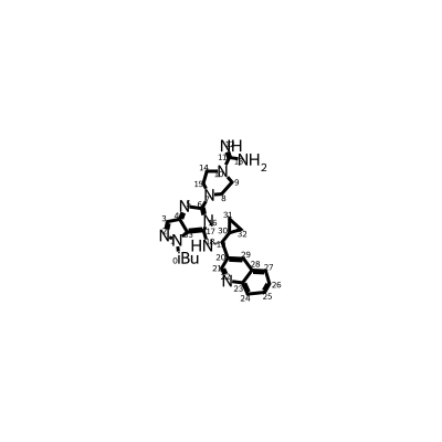 CCC(C)n1ncc2nc(N3CCN(C(=N)N)CC3)nc(N[C@@H](c3cnc4ccccc4c3)C3CC3)c21